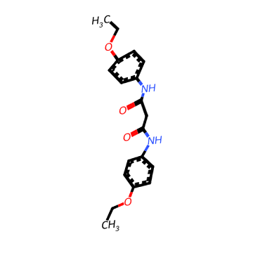 CCOc1ccc(NC(=O)CC(=O)Nc2ccc(OCC)cc2)cc1